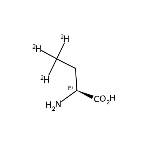 [2H]C([2H])([2H])C[C@H](N)C(=O)O